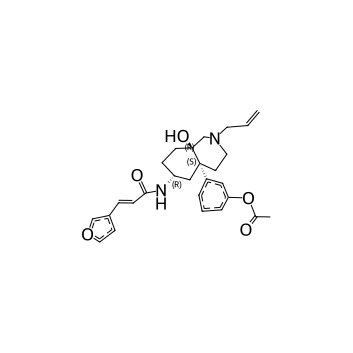 C=CCN1CC[C@@]2(c3cccc(OC(C)=O)c3)C[C@H](NC(=O)C=Cc3ccoc3)CC[C@]2(O)C1